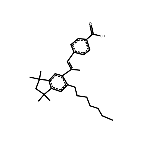 CCCCCCCc1cc2c(cc1/C(C)=C/c1ccc(C(=O)O)cc1)C(C)(C)CC2(C)C